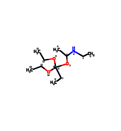 CCNC(C)O[Si](CC)(OCC)OCC